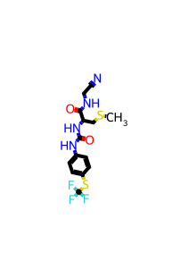 CSCC(NC(=O)Nc1ccc(SC(F)(F)F)cc1)C(=O)NCC#N